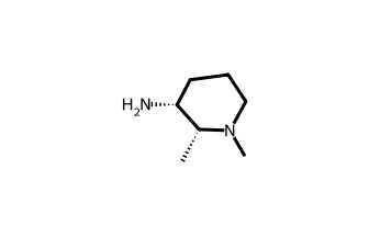 C[C@@H]1[C@H](N)CCCN1C